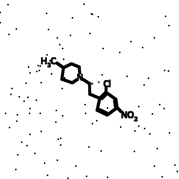 CC1CCN([CH]Cc2ccc([N+](=O)[O-])cc2Cl)CC1